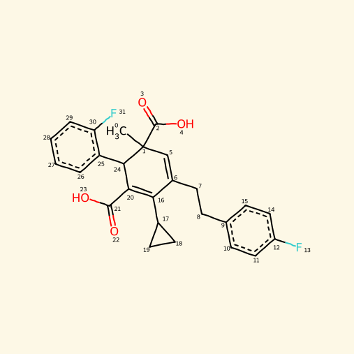 CC1(C(=O)O)C=C(CCc2ccc(F)cc2)C(C2CC2)=C(C(=O)O)C1c1ccccc1F